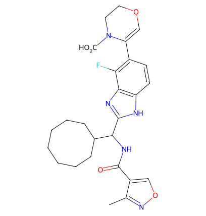 Cc1nocc1C(=O)NC(c1nc2c(F)c(C3=COCCN3C(=O)O)ccc2[nH]1)C1CCCCCCC1